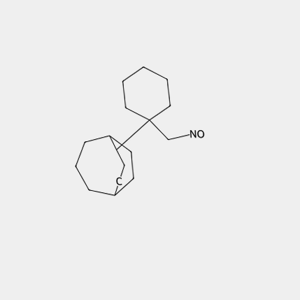 O=NCC1(C2CCC3CCCC2CC3)CCCCC1